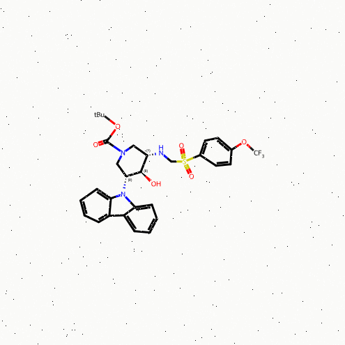 CC(C)(C)OC(=O)N1C[C@H](NCS(=O)(=O)c2ccc(OC(F)(F)F)cc2)[C@@H](O)[C@H](n2c3ccccc3c3ccccc32)C1